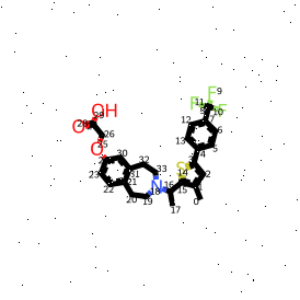 Cc1cc(-c2ccc(C(F)(F)F)cc2)sc1C(C)N1CCc2ccc(OCC(=O)O)cc2CC1